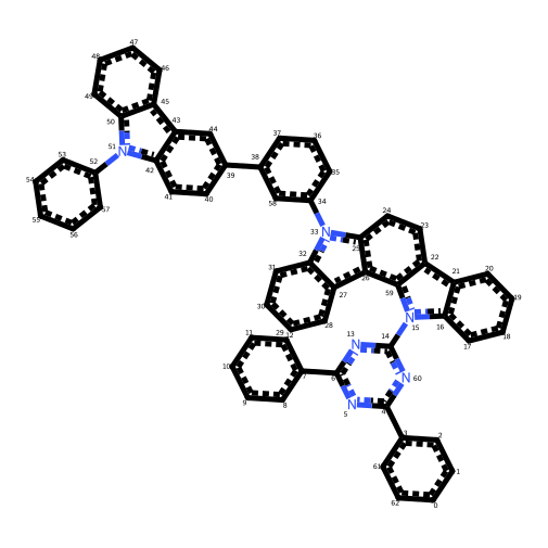 c1ccc(-c2nc(-c3ccccc3)nc(-n3c4ccccc4c4ccc5c(c6ccccc6n5-c5cccc(-c6ccc7c(c6)c6ccccc6n7-c6ccccc6)c5)c43)n2)cc1